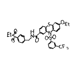 CCOc1ccc2c(c1)Sc1ccc(C(=O)NCc3ccc(S(=O)(=O)CC)cc3)cc1N2S(=O)(=O)c1cccc(C(F)(F)F)c1